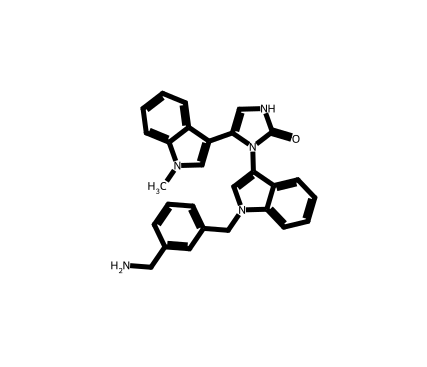 Cn1cc(-c2c[nH]c(=O)n2-c2cn(Cc3cccc(CN)c3)c3ccccc23)c2ccccc21